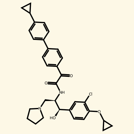 O=C(N[C@H](CN1CCCC1)[C@H](O)c1ccc(OC2CC2)c(Cl)c1)C(=O)c1ccc(-c2ccc(C3CC3)cc2)cc1